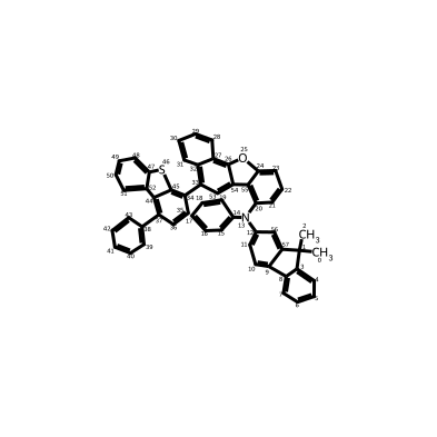 CC1(C)c2ccccc2-c2ccc(N(c3ccccc3)c3cccc4oc5c6ccccc6c(-c6ccc(-c7ccccc7)c7c6sc6ccccc67)cc5c34)cc21